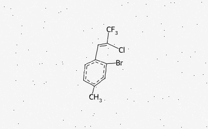 Cc1ccc(C=C(Cl)C(F)(F)F)c(Br)c1